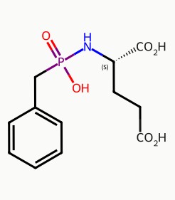 O=C(O)CC[C@H](NP(=O)(O)Cc1ccccc1)C(=O)O